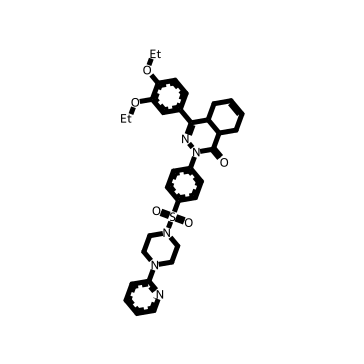 CCOc1ccc(C2=NN(c3ccc(S(=O)(=O)N4CCN(c5ccccn5)CC4)cc3)C(=O)C3CC=CCC23)cc1OCC